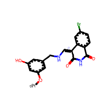 CCCOc1cc(O)cc(CN/C=C2\C(=O)NC(=O)c3ccc(Br)cc32)c1